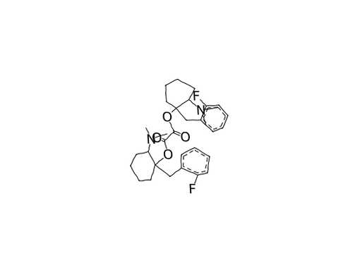 CN(C)C1CCCCC1(Cc1ccccc1F)OC(=O)C(=O)OC1(Cc2ccccc2F)CCCCC1N(C)C